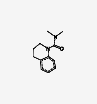 CN(C)C(=O)N1CCCc2ccccc21